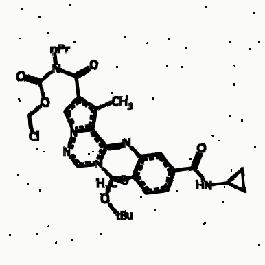 CCCN(C(=O)OCCl)C(=O)c1cn2ncn(C(=O)OC(C)(C)C)/c(=N\c3cc(C(=O)NC4CC4)ccc3C)c2c1C